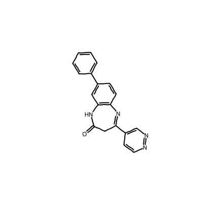 O=C1CC(c2ccnnc2)=Nc2ccc(-c3ccccc3)cc2N1